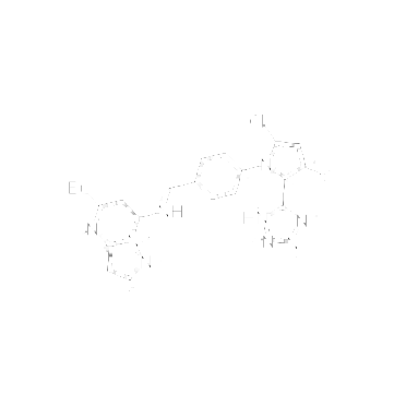 CCc1cc(NCc2ccc(-n3c(Cl)cc(Cl)c3-c3nnn[nH]3)cc2)n2nccc2n1